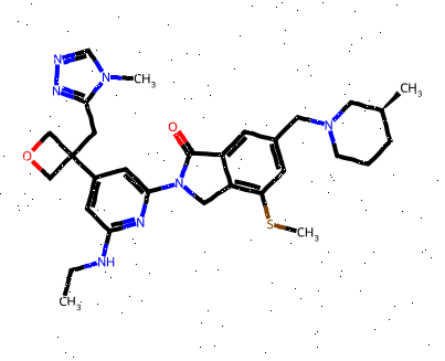 CCNc1cc(C2(Cc3nncn3C)COC2)cc(N2Cc3c(SC)cc(CN4CCC[C@H](C)C4)cc3C2=O)n1